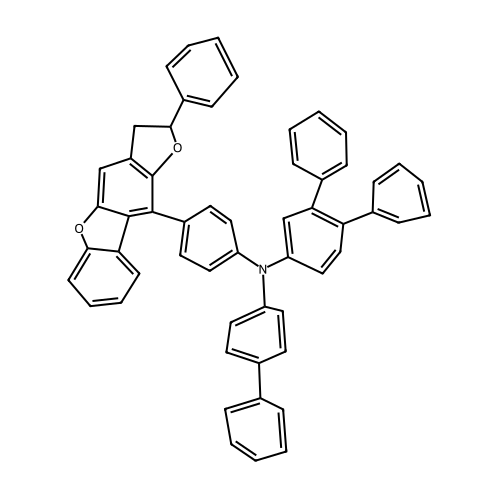 c1ccc(-c2ccc(N(c3ccc(-c4c5c(cc6oc7ccccc7c46)CC(c4ccccc4)O5)cc3)c3ccc(-c4ccccc4)c(-c4ccccc4)c3)cc2)cc1